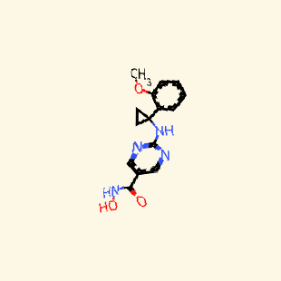 COc1ccccc1C1(Nc2ncc(C(=O)NO)cn2)CC1